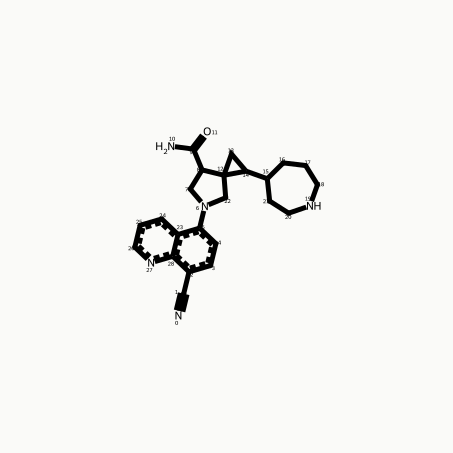 N#Cc1ccc(N2CC(C(N)=O)C3(CC3C3CCCNCC3)C2)c2cccnc12